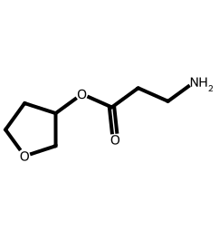 NCCC(=O)OC1CCOC1